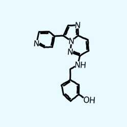 Oc1cccc(CNc2ccc3ncc(-c4ccncc4)n3n2)c1